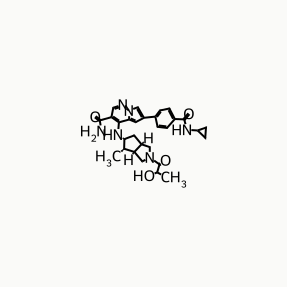 CC(O)C(=O)N1C[C@H]2C[C@@H](Nc3c(C(N)=O)cnn4cc(-c5ccc(C(=O)NC6CC6)cc5)cc34)[C@H](C)[C@H]2C1